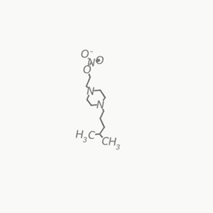 CC(C)CCCN1CCN(CCO[N+](=O)[O-])CC1